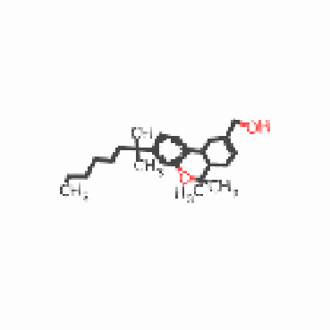 CCCCCCC(C)(C)c1ccc2c(c1)OC(C)(C)C1CC=C(CO)CC21